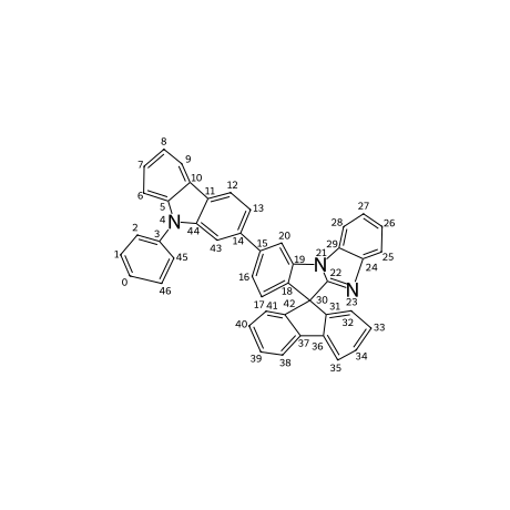 c1ccc(-n2c3ccccc3c3ccc(-c4ccc5c(c4)-n4c(nc6ccccc64)C54c5ccccc5-c5ccccc54)cc32)cc1